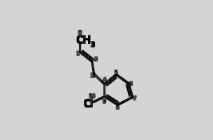 C/C=C/[CH]c1ccccc1Cl